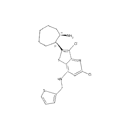 N[C@@H]1CCCCC[C@@H]1c1sc2c(NCc3cccs3)cc(Cl)nc2c1Cl